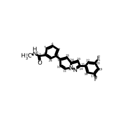 CNC(=O)c1cccc(-c2ccn3nc(-c4cc(F)cc(F)c4)cc3c2)c1